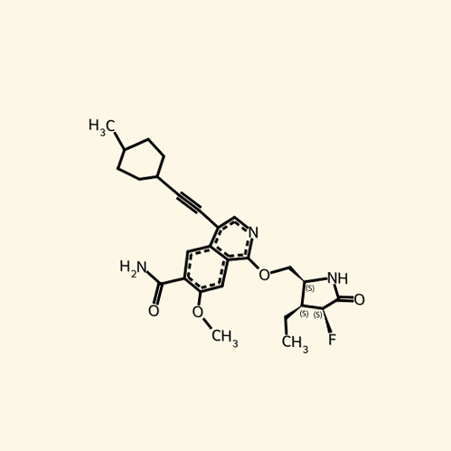 CC[C@@H]1[C@H](F)C(=O)N[C@@H]1COc1ncc(C#CC2CCC(C)CC2)c2cc(C(N)=O)c(OC)cc12